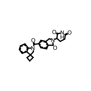 O=C1CCC(N2Cc3cc(C(=O)N4CC5(CCC5)c5ccccc54)ccc3C2=O)C(=O)N1